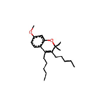 CCCCCC1=C(CCCCC)C(C)(C)Oc2cc(OC)ccc21